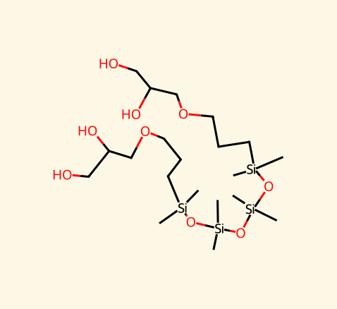 C[Si](C)(CCCOCC(O)CO)O[Si](C)(C)O[Si](C)(C)O[Si](C)(C)CCCOCC(O)CO